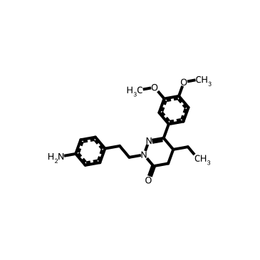 CCC1CC(=O)N(CCc2ccc(N)cc2)N=C1c1ccc(OC)c(OC)c1